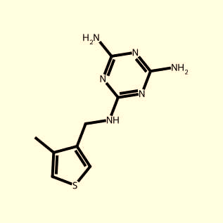 Cc1cscc1CNc1nc(N)nc(N)n1